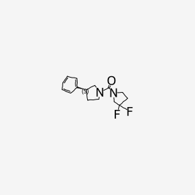 O=C(N1CC[C@@H](c2ccccc2)C1)N1CCC(F)(F)C1